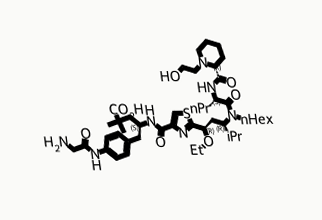 CCCCCCN(C(=O)[C@H](CCC)NC(=O)[C@H]1CCCCN1CCO)[C@H](C[C@@H](OCC)c1nc(C(=O)N[C@@H](Cc2ccc(NC(=O)CN)cc2)CC(C)(C)C(=O)O)cs1)C(C)C